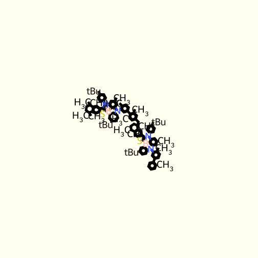 Cc1cc2c3c(c1)N(c1ccc(C(C)(C)C)cc1)c1c(sc4cc5c(cc14)C(C)(C)CCC5(C)C)B3C1C=C(C=CC(C(C)(C)C)=C1)N2c1cc(-c2c(C)cc(CC3(C)CCC(C)(C)c4cc5sc6c(c5cc43)N(c3ccc(C(C)(C)C)cc3)c3cc(C)cc4c3B6c3cc(C(C)(C)C)ccc3N4c3cc(-c4ccccc4C)ccc3C)cc2C)ccc1C